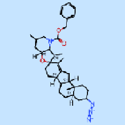 CC1=C2C[C@H]3C(CC[C@@H]4CC(N=[N+]=[N-])CCC43C)[C@@H]2CCC12O[C@@H]1CC(C)CN(C(=O)OCc3ccccc3)C1[C@H]2C